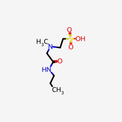 CCCNC(=O)CN(C)CCS(=O)(=O)O